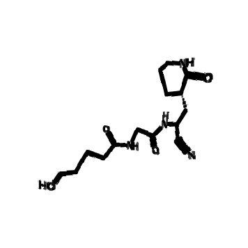 N#CC(C[C@@H]1CCCNC1=O)NC(=O)CNC(=O)CCCCO